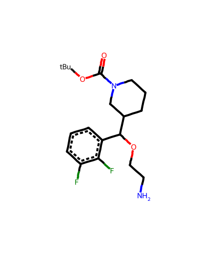 CC(C)(C)OC(=O)N1CCCC(C(OCCN)c2cccc(F)c2F)C1